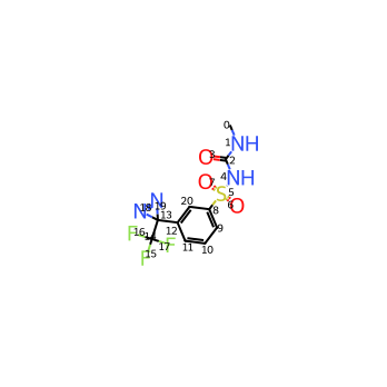 CNC(=O)NS(=O)(=O)c1cccc(C2(C(F)(F)F)N=N2)c1